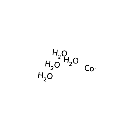 O.O.O.O.[Co]